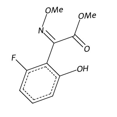 CON=C(C(=O)OC)c1c(O)cccc1F